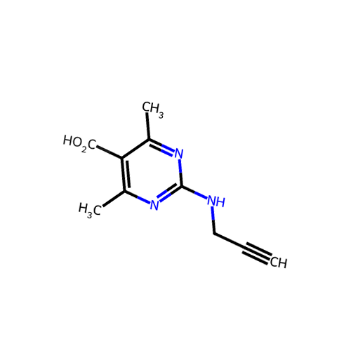 C#CCNc1nc(C)c(C(=O)O)c(C)n1